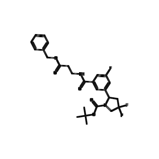 CC(C)(C)OC(=O)N1CC(F)(F)CC1c1cc(F)cc(C(=O)NCCC(=O)OCc2ccccc2)c1